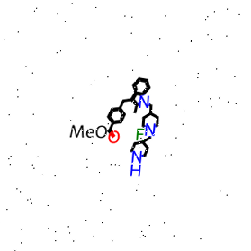 COC(=O)c1ccc(Cc2c(C)n(CC3CCN(CC4(F)CCNCC4)CC3)c3ccccc23)cc1